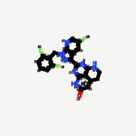 CC12CCNc3nc(-c4nn(Cc5c(F)cccc5F)c5ncc(F)cc45)nc(c31)NC(=O)C2